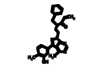 C=CC(=O)N(CCn1nc(-c2ccc(C)c(O)c2)c2c(N)ncnc21)Cc1ccccc1